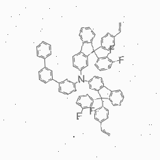 C=Cc1ccc(C2(c3cccc(F)c3F)c3ccccc3-c3ccc(N(c4cccc(-c5cccc(-c6ccccc6)c5)c4)c4ccc5c(c4)C(c4ccc(C=C)cc4)(c4cccc(F)c4F)c4ccccc4-5)cc32)cc1